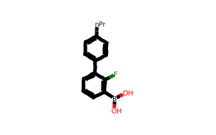 CCCc1ccc(-c2cccc(B(O)O)c2F)cc1